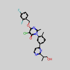 Cc1ccc(-c2ccnc(C(C)CO)n2)cc1-n1c(C)nc(OCc2ccc(F)cc2F)c(Cl)c1=O